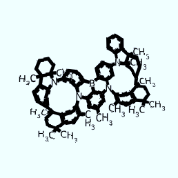 Cc1cc2c3c(c1)N1c4cc5c(cc4C)C(C)(C)CCC5(C)C4CCC5(C)c6ccccc6N(c6ccc(c1c6)B3c1ccc3cc1N2c1cc2c(cc1C)C(C)(C)CCC2(C)c1ccc2c(c1)N3C1(C)CCCCC21C)C5(C)C4